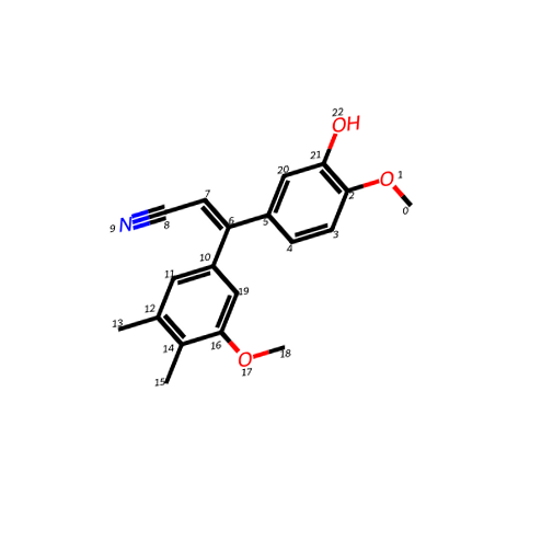 COc1ccc(C(=CC#N)c2cc(C)c(C)c(OC)c2)cc1O